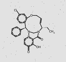 CC[C@H]1/C=C/COc2cc(Cl)ccc2[C@H](c2ccccc2)N2CN1C(=O)c1c(O)c(=O)ccn12